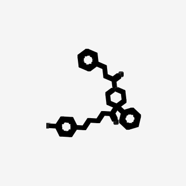 O=C(CCc1ccccc1)N1CCC(C(=O)CCCCc2ccc(F)cc2)(c2ccccc2)CC1